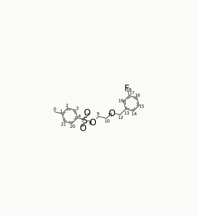 Cc1ccc(S(=O)(=O)OCCOCc2cccc(F)c2)cc1